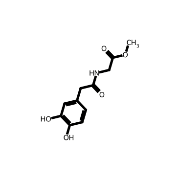 COC(=O)CNC(=O)Cc1ccc(O)c(O)c1